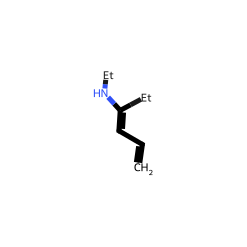 C=C/C=C(\CC)NCC